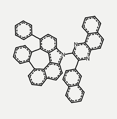 c1ccc(-c2ccc3c4c2-c2ccccc2-c2cccc5ccc(c4c25)n3-c2nc3c(ccc4ccccc43)nc2-c2ccc3ccccc3c2)cc1